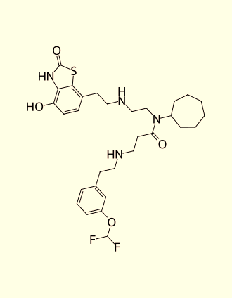 O=C(CCNCCc1cccc(OC(F)F)c1)N(CCNCCc1ccc(O)c2[nH]c(=O)sc12)C1CCCCCC1